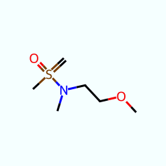 C=S(C)(=O)N(C)CCOC